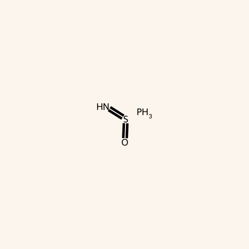 N=S=O.P